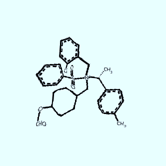 Cc1ccc([C@@H](C)[N+](Cc2ccccc2Cl)(CC2CCC(O[C]=O)CC2)S(=O)(=O)c2ccccc2)cc1